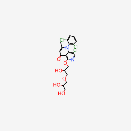 Cc1cc(=O)c2c(OCC(O)COCC(O)CO)ncc(Cl)c2n1-c1c(Cl)cccc1Cl